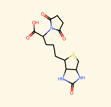 O=C1NC2CSC(CCCC(C(=O)O)N3C(=O)CCC3=O)C2N1